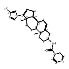 C[C@]12CC[C@H](NC(=O)N3C=CN=CC3)CC1=CCC1C2CC[C@]2(C)C(n3cnc(C#N)c3)=CCC12